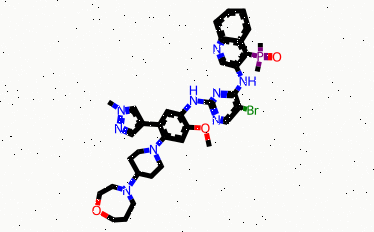 COc1cc(N2CCC(N3CCCOCC3)CC2)c(-c2cnn(C)c2)cc1Nc1ncc(Br)c(Nc2cnc3ccccc3c2P(C)(C)=O)n1